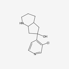 OC1(c2ccncc2Cl)CC2CCCNC2C1